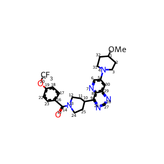 COC1CCN(c2cnc3c(C4CCN(C(=O)c5ccc(OC(F)(F)F)cc5)CC4)ncnc3c2)CC1